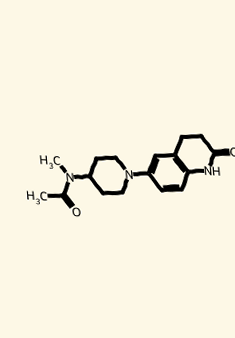 CC(=O)N(C)C1CCN(c2ccc3c(c2)CCC(=O)N3)CC1